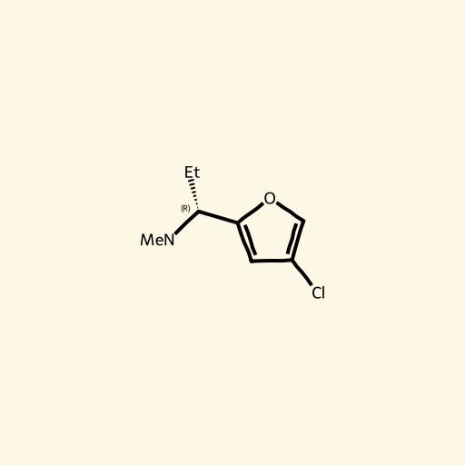 CC[C@@H](NC)c1cc(Cl)co1